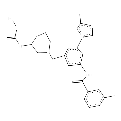 Cc1cn(-c2cc(CN3CCCC(NC(=O)OC(C)(C)C)C3)cc(NC(=O)c3cccc(Br)c3)c2)cn1